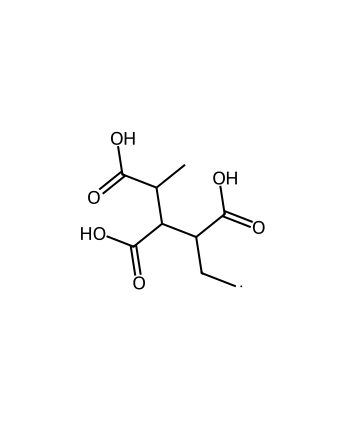 [CH2]CC(C(=O)O)C(C(=O)O)C(C)C(=O)O